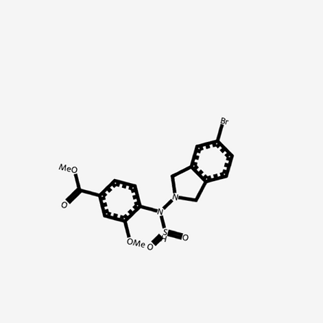 COC(=O)c1ccc(N(N2Cc3ccc(Br)cc3C2)[SH](=O)=O)c(OC)c1